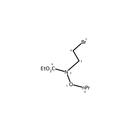 CCCON(CCBr)C(=O)OCC